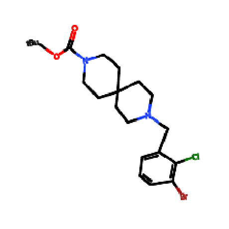 CC(C)(C)OC(=O)N1CCC2(CCN(Cc3cccc(Br)c3Cl)CC2)CC1